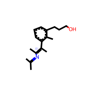 CC(C)=N/C(C)=C(\C)c1cccc(CCCO)c1C